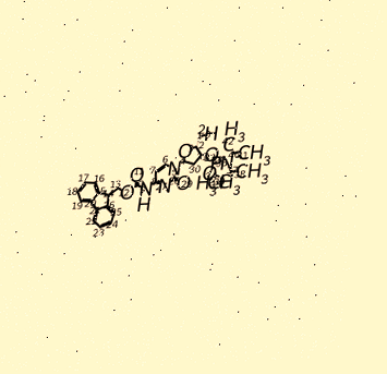 [2H]C[C@H]1O[C@@H](n2ccc(NC(=O)OCC3c4ccccc4-c4ccccc43)nc2=O)C[C@H]1OP(OC)N(C(C)C)C(C)C